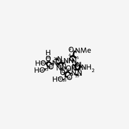 CNC(=O)c1cnn(-c2nc(N)c3ncn([C@@H]4O[C@H](CO)[C@H](Oc5nc(N)c6ncn([C@@H]7O[C@H](CO)[C@H](O)C7O)c6n5)C4O)c3n2)c1